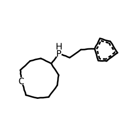 c1ccc(CCPC2CCCCCCCCC2)cc1